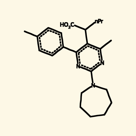 CCCC(C(=O)O)c1c(C)nc(N2CCCCCC2)nc1-c1ccc(C)cc1